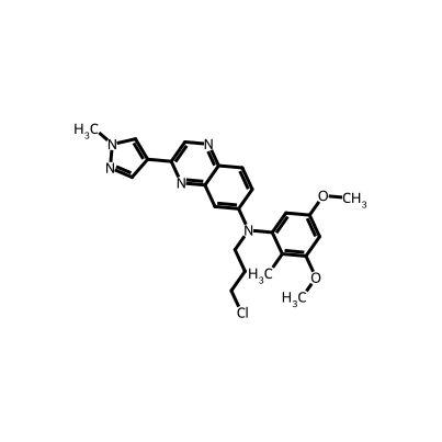 COc1cc(OC)c(C)c(N(CCCCl)c2ccc3ncc(-c4cnn(C)c4)nc3c2)c1